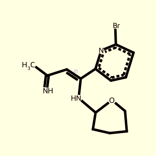 CC(=N)/C=C(\NC1CCCCO1)c1cccc(Br)n1